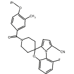 Cc1cc(C(=O)N2CCC3(CC2)Oc2cccc(F)c2-n2c(C#N)ccc23)ccc1OC(C)C